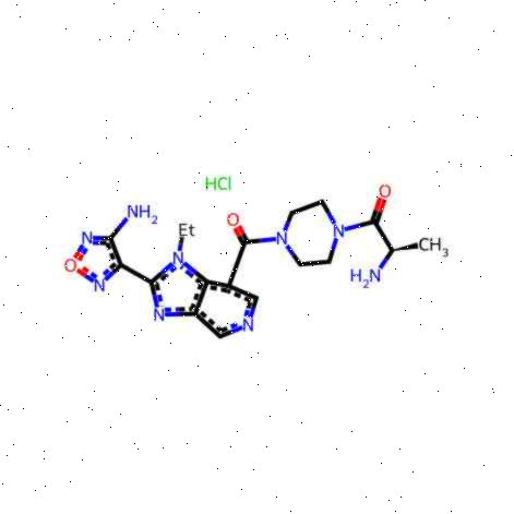 CCn1c(-c2nonc2N)nc2cncc(C(=O)N3CCN(C(=O)[C@@H](C)N)CC3)c21.Cl